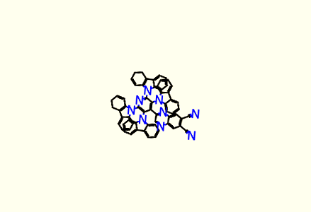 N#Cc1cc2ncc(-c3c(-n4c5ccccc5c5ccccc54)c(-n4c5c(c6ccccc64)CCC=C5)nc(-n4c5c(c6ccccc64)CCC=C5)c3-n3c4ccccc4c4ccccc43)nc2cc1C#N